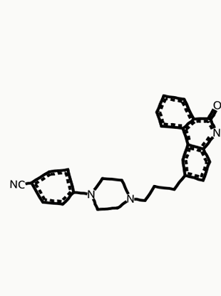 N#Cc1ccc(N2CCN(CCCc3ccc4[nH]c(=O)c5ccccc5c4c3)CC2)cc1